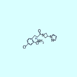 N[C@H](Cc1ccc(Cl)cc1Cl)C(=O)N1CC(n2cccn2)C1